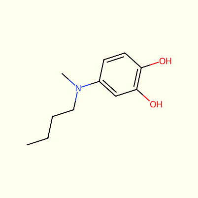 CCCCN(C)c1ccc(O)c(O)c1